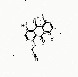 N#CCNc1ccc(O)c2c1C(=O)c1c(O)ccc(N)c1C2=O